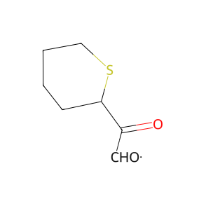 O=[C]C(=O)C1CCCCS1